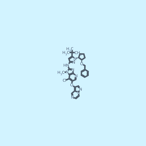 Cn1c(Nc2cc(C(C)(C)C)n([C@H]3CCC[C@H]3OCc3ccccc3)n2)nc2ncc(Oc3cnn4ccncc34)c(Cl)c21